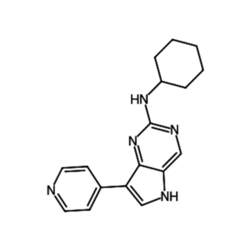 c1cc(-c2c[nH]c3cnc(NC4CCCCC4)nc23)ccn1